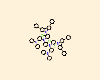 Clc1c(N(c2cccc(N(c3ccccc3)c3ccccc3)c2)c2cccc(-n3c4ccc(-c5ccccc5)cc4c4cc(-c5ccccc5)ccc43)c2Cl)cccc1N(c1cccc(N(c2ccccc2)c2ccccc2)c1)c1cccc(-n2c3ccc(-c4ccccc4)cc3c3cc(-c4ccccc4)ccc32)c1Cl